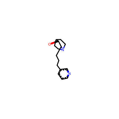 O=C1C2CCN(CC2)C1CCCc1cccnc1